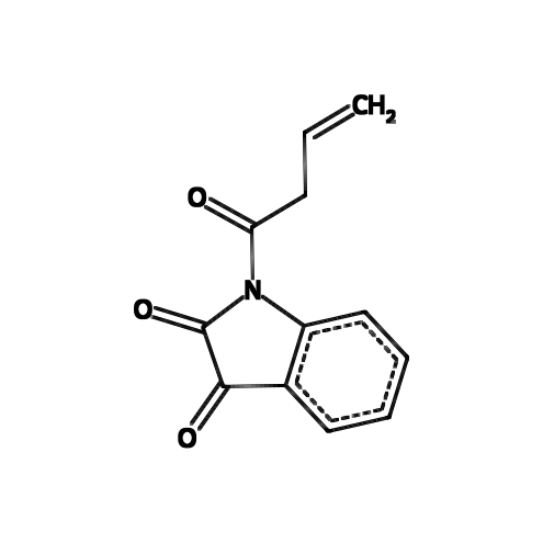 C=CCC(=O)N1C(=O)C(=O)c2ccccc21